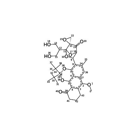 COc1c2c(c3c4c(c(C5OC6(C(CO)CO)OC5C(=O)[C@@]65CO5)c(C)cc14)O[Si](C(C)(C)C)(C(C)(C)C)O3)C(=O)CCC2